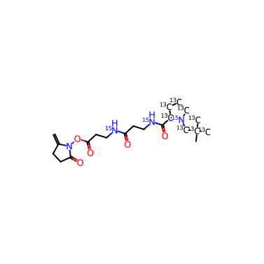 C=C1CCC(=O)N1OC(=O)CC[15NH]C(=O)CC[15NH]C(=O)[13CH]1[13CH2][13CH2][13CH2][15N]1[13CH2][13C](C)([13CH3])[13CH3]